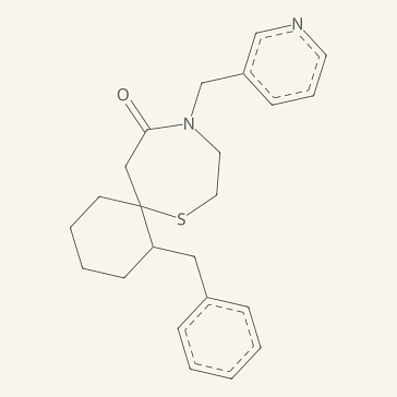 O=C1CC2(CCCCC2Cc2ccccc2)SCCN1Cc1cccnc1